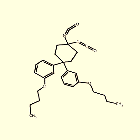 CCCCOc1cccc(C2(c3cccc(OCCCC)c3)CCC(N=C=O)(N=C=O)CC2)c1